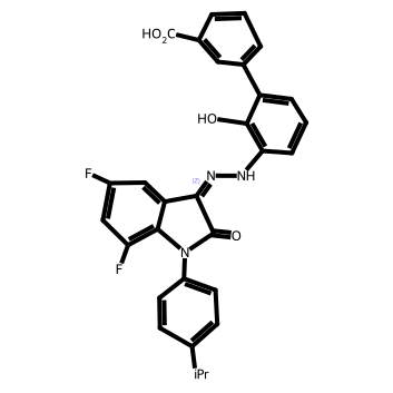 CC(C)c1ccc(N2C(=O)/C(=N\Nc3cccc(-c4cccc(C(=O)O)c4)c3O)c3cc(F)cc(F)c32)cc1